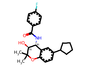 CC1(C)Oc2ccc(C3CCCC3)cc2[C@@H](NC(=O)c2ccc(F)cc2)[C@@H]1O